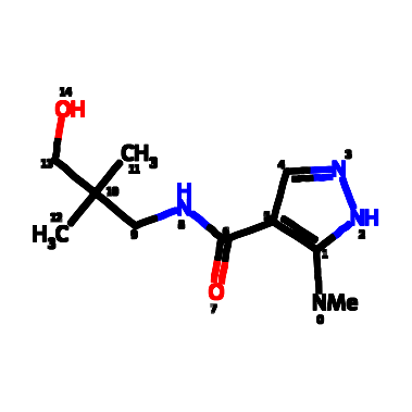 CNc1[nH]ncc1C(=O)NCC(C)(C)CO